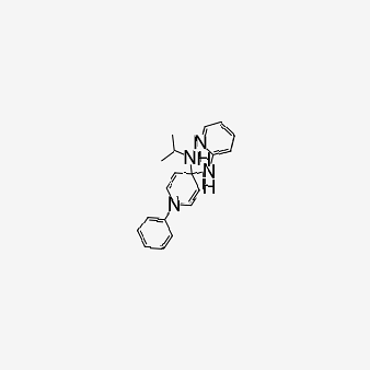 CC(C)NC1(Nc2ccccn2)C=CN(c2ccccc2)C=C1